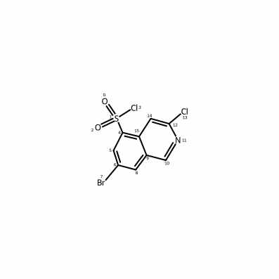 O=S(=O)(Cl)c1cc(Br)cc2cnc(Cl)cc12